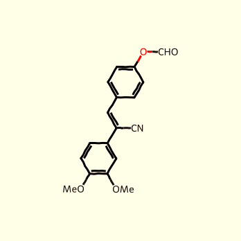 COc1ccc(C(C#N)=Cc2ccc(OC=O)cc2)cc1OC